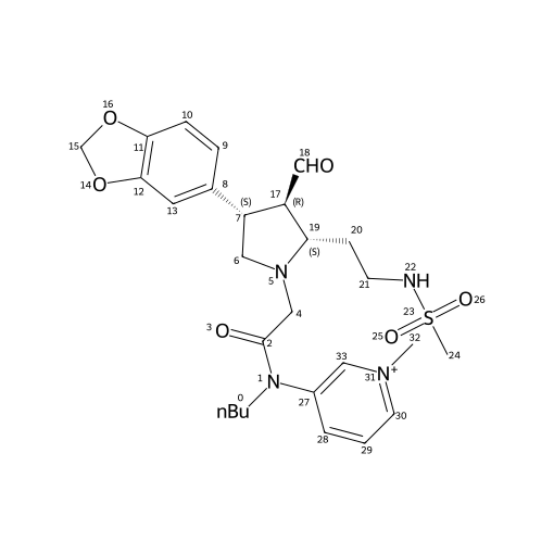 CCCCN(C(=O)CN1C[C@H](c2ccc3c(c2)OCO3)[C@@H](C=O)[C@@H]1CCNS(C)(=O)=O)c1ccc[n+](C)c1